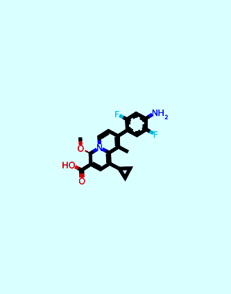 CO[C@H]1C(C(=O)O)=CC(C2CC2)=C2C(C)=C(c3cc(F)c(N)cc3F)C=CN21